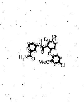 COc1cc(Cl)ccc1Oc1ccc(C(F)(F)F)c(F)c1C(=O)Nc1ccnc(C(N)=O)c1